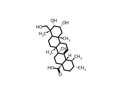 C[C@H]1[C@H](C)CC[C@]2(C(=O)O)CC[C@]3(C)C(=CCC4[C@@]5(C)C[C@@H](O)[C@@H](O)[C@@](C)(CO)C5CC[C@]43C)[C@H]12